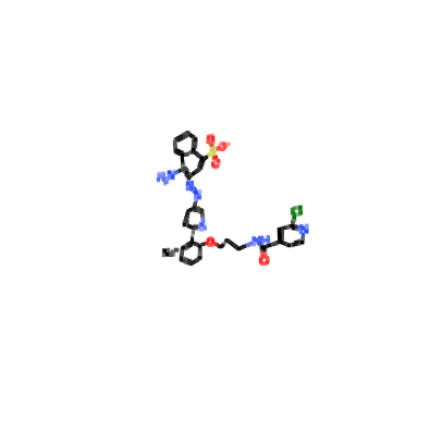 Nc1c(N=Nc2ccc(-c3ccccc3OCCCNC(=O)c3ccnc(Cl)c3)nc2)cc(S(=O)(=O)[O-])c2ccccc12.[Na+]